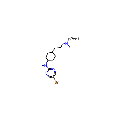 CCCCCN(C)CCCC1CCC(N(C)c2ncc(Br)cn2)CC1